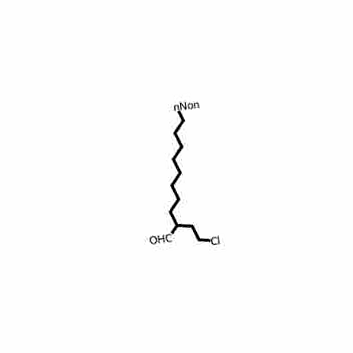 CCCCCCCCCCCCCCCCCC(C=O)CCCl